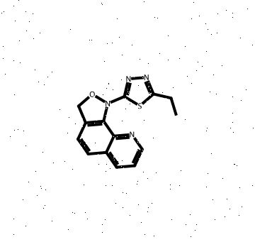 CCc1nnc(N2OCc3ccc4cccnc4c32)s1